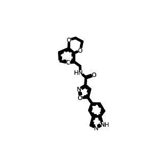 O=C(NCc1cccc2c1OCCO2)c1cc(-c2ccc3[nH]ncc3c2)on1